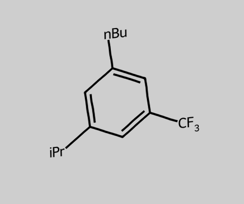 [CH2]C(C)c1cc(CCCC)cc(C(F)(F)F)c1